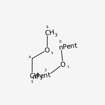 CCCCCOCCCCC.CCOC